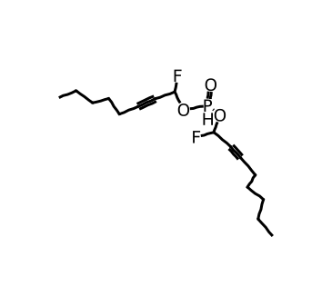 CCCCCC#CC(F)O[PH](=O)OC(F)C#CCCCCC